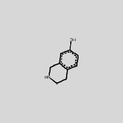 Oc1ccc2c(c1)CN[C]C2